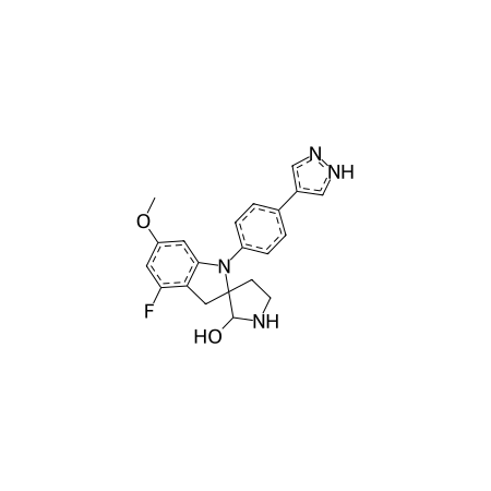 COc1cc(F)c2c(c1)N(c1ccc(-c3cn[nH]c3)cc1)C1(CCNC1O)C2